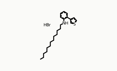 Br.CCCCCCCCCCCCCNc1ccccc1-c1ccsc1